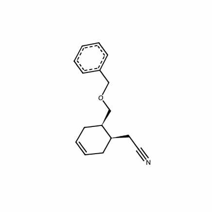 N#CC[C@H]1CC=CC[C@H]1COCc1ccccc1